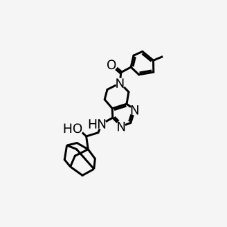 Cc1ccc(C(=O)N2CCc3c(ncnc3NCC(O)C34CC5CC(CC(C5)C3)C4)C2)cc1